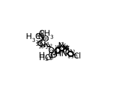 COc1cc2c(Nc3ccc(Cl)cc3F)ncnc2cc1OCCCN1CCCC1C(=O)N(C)C.Cl